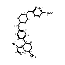 COc1ccc(CN2CCC(Nc3ccc(C4=CCC(C)n5ncc(C#N)c54)cn3)CC2)cn1